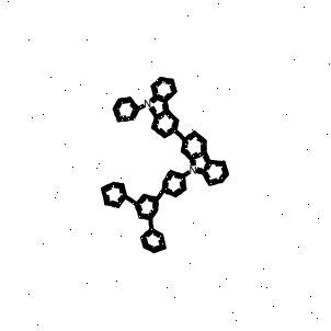 c1ccc(-c2cc(-c3ccccc3)cc(-c3ccc(-n4c5ccccc5c5ccc(-c6ccc7c(c6)c6ccccc6n7-c6ccccc6)cc54)cc3)c2)cc1